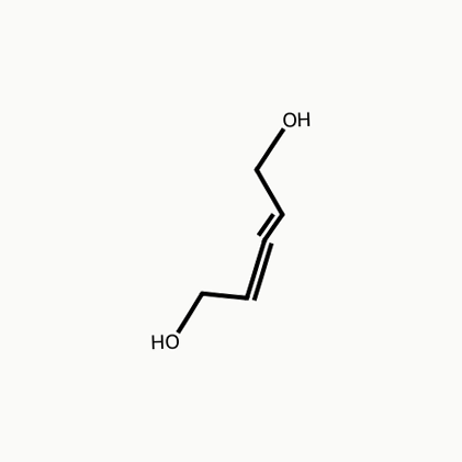 OCC=C=CCO